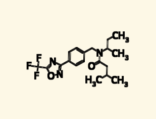 CCC(C)N(Cc1ccc(-c2noc(C(F)(F)F)n2)cc1)C(=O)CC(C)C